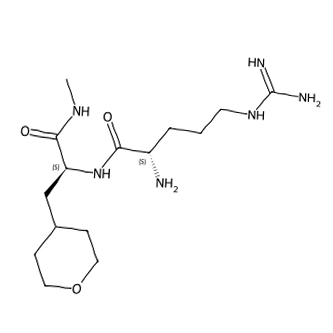 CNC(=O)[C@H](CC1CCOCC1)NC(=O)[C@@H](N)CCCNC(=N)N